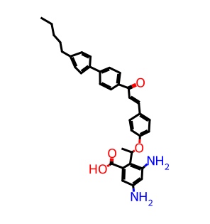 CCCCCc1ccc(-c2ccc(C(=O)/C=C/c3ccc(OC(C)c4c(N)cc(N)cc4C(=O)O)cc3)cc2)cc1